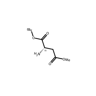 COC(=O)C[C@H](N)C(=O)OC(C)(C)C